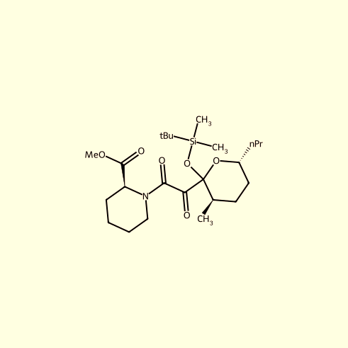 CCC[C@@H]1CC[C@@H](C)C(O[Si](C)(C)C(C)(C)C)(C(=O)C(=O)N2CCCC[C@H]2C(=O)OC)O1